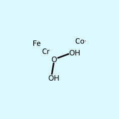 OOO.[Co].[Cr].[Fe]